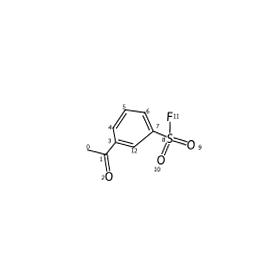 CC(=O)c1cccc(S(=O)(=O)F)c1